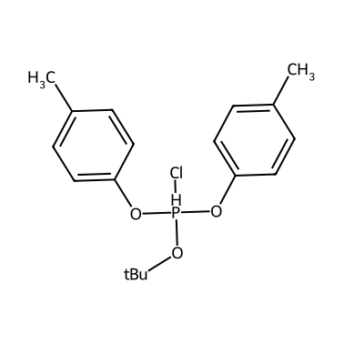 Cc1ccc(O[PH](Cl)(Oc2ccc(C)cc2)OC(C)(C)C)cc1